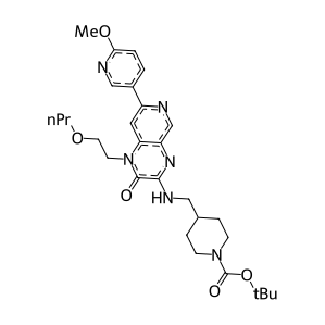 CCCOCCn1c(=O)c(NCC2CCN(C(=O)OC(C)(C)C)CC2)nc2cnc(-c3ccc(OC)nc3)cc21